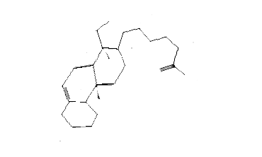 C=C(C)[C@@H](C)CC[C@@H](C)[C@H]1CC[C@H]2[C@@H]3CC=C4C[C@@H](O)CC[C@]4(C)[C@H]3CC[C@]12C